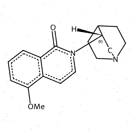 COc1cccc2c(=O)n([C@H]3CN4CCC3CC4)ccc12